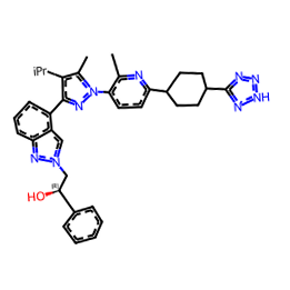 Cc1nc(C2CCC(c3nn[nH]n3)CC2)ccc1-n1nc(-c2cccc3nn(C[C@H](O)c4ccccc4)cc23)c(C(C)C)c1C